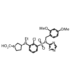 CCN(c1cccc(S(=O)(=O)N(Cc2ccc(OC)cc2OC)c2ncns2)c1Cl)[C@H]1CCN(C(=O)O)C1